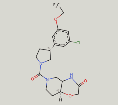 O=C1CO[C@H]2CCN(C(=O)N3CC[C@H](c4cc(Cl)cc(OCC(F)(F)F)c4)C3)CC2N1